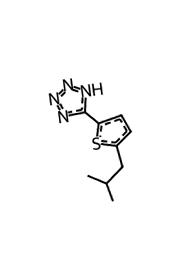 CC(C)Cc1ccc(-c2nnn[nH]2)s1